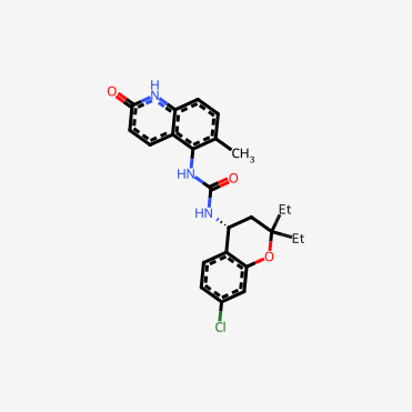 CCC1(CC)C[C@@H](NC(=O)Nc2c(C)ccc3[nH]c(=O)ccc23)c2ccc(Cl)cc2O1